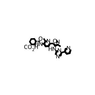 Cc1nc(-c2onc(C)c2Nc2cncc(-c3cccnc3)n2)ccc1NC(=O)[C@H]1CCCC[C@@H]1C(=O)O